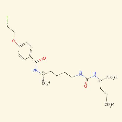 O=C(O)CC[C@H](NC(=O)NCCCC[C@H](NC(=O)c1ccc(OCCF)cc1)C(=O)O)C(=O)O